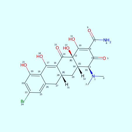 CN(C)[C@@H]1C(=O)C(C(N)=O)=C(O)[C@@]2(O)C(=O)C3=C(O)c4c(O)cc(Br)cc4C[C@H]3C[C@@H]12